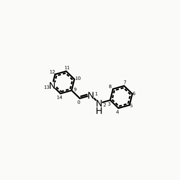 C(=NNc1ccccc1)c1cccnc1